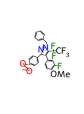 COc1ccc(-c2c(-c3ccc(S(C)(=O)=O)cc3)nn(Cc3ccccc3)c2C(F)(F)C(F)(F)F)cc1F